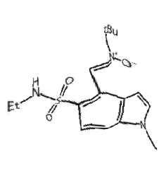 CCNS(=O)(=O)c1ccc2c(ccn2C)c1/C=[N+](\[O-])C(C)(C)C